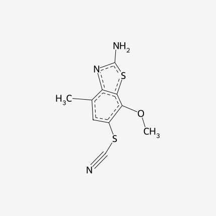 COc1c(SC#N)cc(C)c2nc(N)sc12